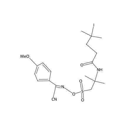 COc1ccc(/C(C#N)=N/OS(=O)(=O)CC(C)(C)NC(=O)CCC(C)(C)I)cc1